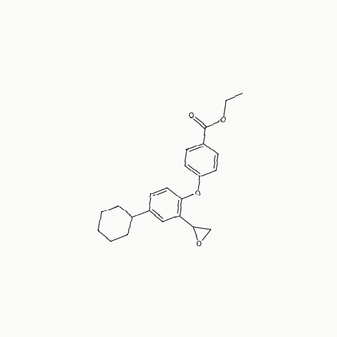 CCOC(=O)c1ccc(Oc2ccc(C3CCCCC3)cc2C2CO2)cc1